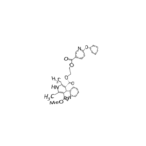 COC(=O)C1=C(C)NC(C)=C(C(=O)OCCOC(=O)c2ccc(Oc3ccccc3)nc2)C1c1ccccc1[N+](=O)[O-]